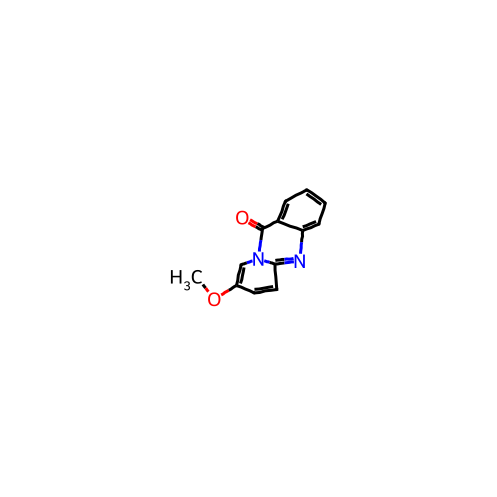 COc1ccc2nc3ccccc3c(=O)n2c1